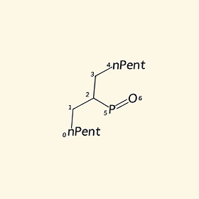 CCCCCCC(CCCCCC)P=O